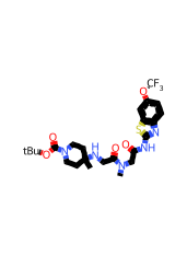 CN(CC(=O)Nc1nc2ccc(OC(F)(F)F)cc2s1)C(=O)CNC1(C)CCN(C(=O)OC(C)(C)C)CC1